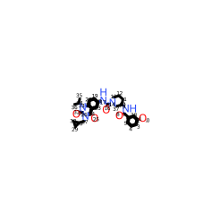 COc1cccc(C(=O)N[C@@H]2CCCN(C(=O)Nc3ccc4c(c3)c(=O)n(CC3CC3)c(=O)n4C(C)C)C2)c1